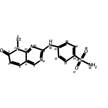 CCn1c(=O)ccc2cnc(Nc3ccc(S(N)(=O)=O)cc3)nc21